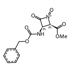 COC(=O)[C@H]1[C@@H](NC(=O)OCc2ccccc2)C(=O)[N+]1=O